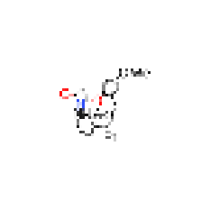 CCC(CCCc1cc(OC)ccc1OC1CC(=O)N1NC(C)=O)c1ccccc1